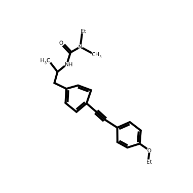 CCOc1ccc(C#Cc2ccc(CC(C)NC(=O)N(C)CC)cc2)cc1